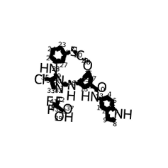 O=C(Nc1ccc2[nH]ccc2c1)c1cc2cc(c1)OCCSc1cccc(c1)Nc1nc(ncc1Cl)N2.O=C(O)C(F)(F)F